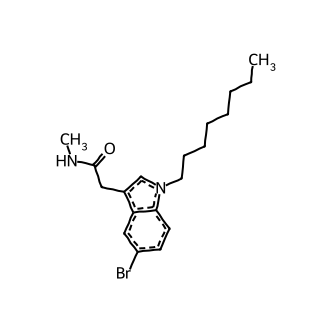 CCCCCCCCn1cc(CC(=O)NC)c2cc(Br)ccc21